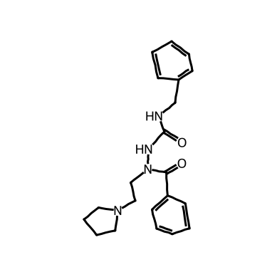 O=C(NCc1ccccc1)NN(CCN1CCCC1)C(=O)c1ccccc1